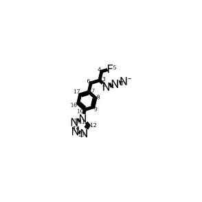 [N-]=[N+]=NC(CF)Cc1ccc(-n2cnnn2)cc1